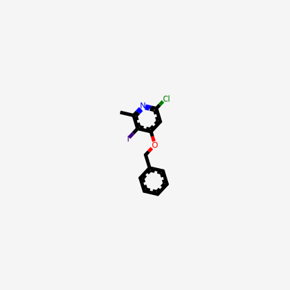 Cc1nc(Cl)cc(OCc2ccccc2)c1I